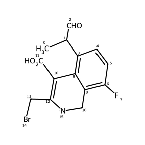 CC(C=O)c1ccc(F)c2c1C(C(=O)O)=C(CBr)[N]C2